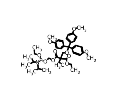 CCOC(=O)C(CC)(COC(c1ccc(OC)cc1)(c1ccc(OC)cc1)c1ccc(OC)cc1)C(=O)OCOP(OCC)N(C(C)C)C(C)C